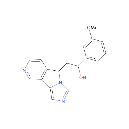 COc1cccc(C(O)CC2c3ccncc3-c3cncn32)c1